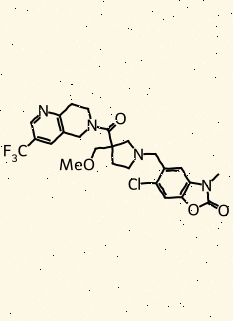 COCC1(C(=O)N2CCc3ncc(C(F)(F)F)cc3C2)CCN(Cc2cc3c(cc2Cl)oc(=O)n3C)C1